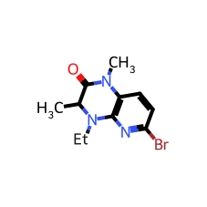 CCN1c2nc(Br)ccc2N(C)C(=O)C1C